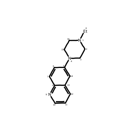 CCN1CCN(c2ccc3ncccc3c2)CC1